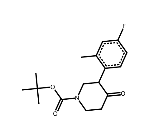 Cc1cc(F)ccc1C1CN(C(=O)OC(C)(C)C)CCC1=O